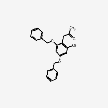 CC(=O)Cc1c(O)cc(OCc2ccccc2)cc1OCc1ccccc1